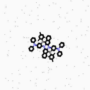 Cc1cc(C)c(B2c3cc(N(c4ccccc4)c4ccccc4)ccc3N3c4cc5ccccc5c5c4N(c4ccc(N(c6ccccc6)c6ccccc6)cc4B5c4c(C)cc(C)cc4C)c4cc5ccccc5c2c43)c(C)c1